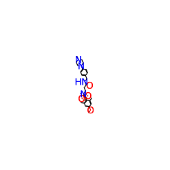 COc1cc(C)c(S(=O)(=O)N(C)CCC(=O)NCc2ccc(N3CCN(C)CC3)cc2)c(C)c1